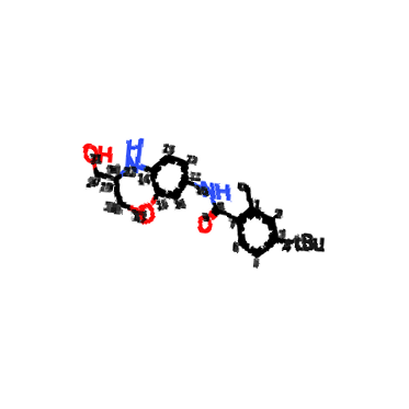 Cc1cc(C(C)(C)C)ccc1C(=O)Nc1ccc2c(c1)OC[C@@H](CO)N2